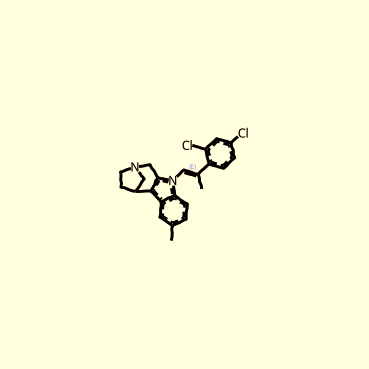 C/C(=C\n1c2c(c3cc(C)ccc31)C1CCN(C2)C1)c1ccc(Cl)cc1Cl